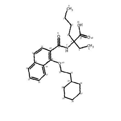 CCCCC(CC)(NC(=O)c1ccc2ccccc2c1OCCC1CCCCC1)C(=O)O